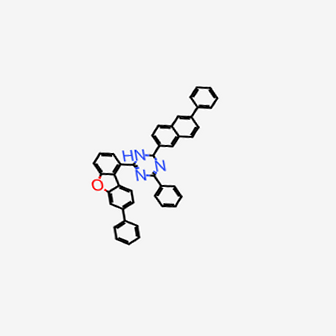 c1ccc(C2=NC(c3ccc4cc(-c5ccccc5)ccc4c3)NC(c3cccc4oc5cc(-c6ccccc6)ccc5c34)=N2)cc1